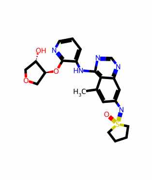 Cc1cc(N=S2(=O)CCCC2)cc2ncnc(Nc3cccnc3O[C@H]3COC[C@@H]3O)c12